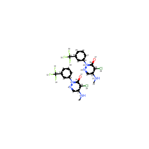 CNc1cnn(-c2cccc(C(F)(F)F)c2)c(=O)c1Cl.CNc1cnn(-c2cccc(C(F)(F)F)c2)c(=O)c1Cl